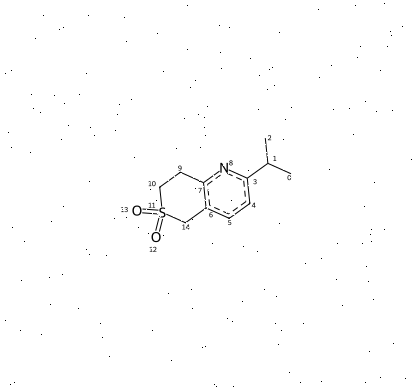 CC(C)c1ccc2c(n1)CCS(=O)(=O)C2